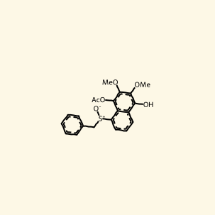 COc1c(OC)c(OC(C)=O)c2c([S+]([O-])Cc3ccccc3)cccc2c1O